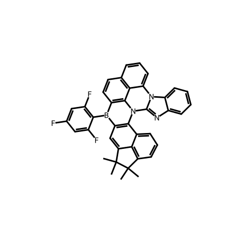 CC1(C)c2cccc3c4c(cc(c23)C1(C)C)B(c1c(F)cc(F)cc1F)c1ccc2cccc3c2c1n-4c1nc2ccccc2n31